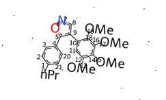 CCCc1ccc(-c2oncc2-c2cc(OC)c(OC)c(OC)c2OC)cc1